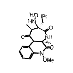 CON1C(=O)[C@H]2NC(=O)[C@](CC(C)C)(NO)[C@H](C)C(=O)C2c2ccccc21